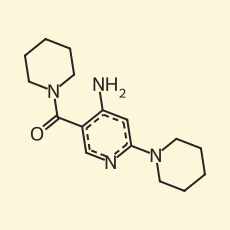 Nc1cc(N2CCCCC2)ncc1C(=O)N1CCCCC1